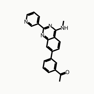 CNc1nc(-c2cccnc2)nc2cc(-c3cccc(C(C)=O)c3)ccc12